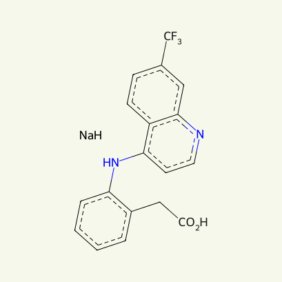 O=C(O)Cc1ccccc1Nc1ccnc2cc(C(F)(F)F)ccc12.[NaH]